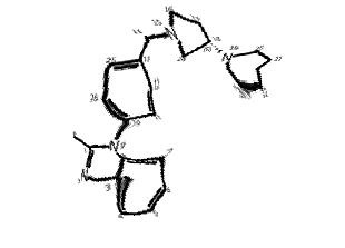 Cc1nc2ccccc2n1-c1ccc(CN2CC[C@H](N3CCCC3)C2)cc1